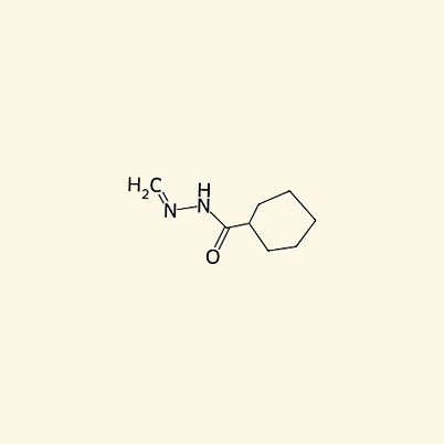 C=NNC(=O)C1CCCCC1